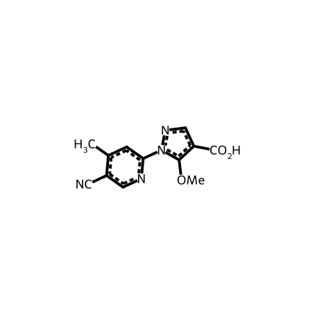 COc1c(C(=O)O)cnn1-c1cc(C)c(C#N)cn1